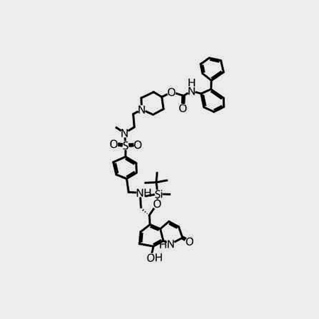 CN(CCN1CCC(OC(=O)Nc2ccccc2-c2ccccc2)CC1)S(=O)(=O)c1ccc(CNC[C@H](O[Si](C)(C)C(C)(C)C)c2ccc(O)c3[nH]c(=O)ccc23)cc1